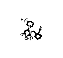 C[C@@H]1CCCN(c2cc(=O)n(C)c(=O)n2Cc2ccccc2C#N)C1